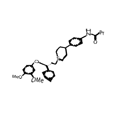 COc1ccc(O[C@H](CCN2CCC(c3ccc(NC(=O)C(C)C)cc3)CC2)c2ccccc2)cc1OC